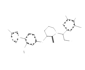 C=C1C(Nc2ccc(-n3cnc(C)c3)c(OC)c2)CCCN1C(CO)c1cc(F)c(F)c(F)c1